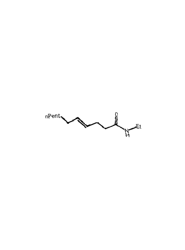 CCCCCC/C=C/CCC(=O)NCC